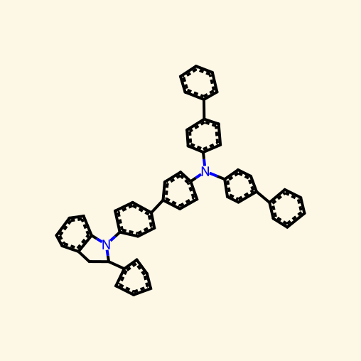 c1ccc(-c2ccc(N(c3ccc(-c4ccccc4)cc3)c3ccc(-c4ccc(N5c6ccccc6CC5c5ccccc5)cc4)cc3)cc2)cc1